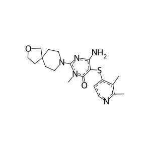 Cc1nccc(Sc2c(N)nc(N3CCC4(CCOC4)CC3)n(C)c2=O)c1C